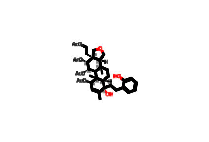 CC(=O)OCC[C@]12COC[C@H]1[C@]1(C)CC[C@@H]3[C@@](C)(C1[C@H](OC(C)=O)[C@@H]2OC(C)=O)[C@H](OC(C)=O)C=C(C)[C@]3(O)CCc1ccccc1O